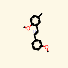 COc1cccc(/C=C/c2cc(C)ccc2OC)c1